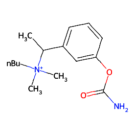 CCCC[N+](C)(C)C(C)c1cccc(OC(N)=O)c1